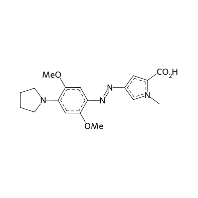 COc1cc(N2CCCC2)c(OC)cc1/N=N/c1cc(C(=O)O)n(C)c1